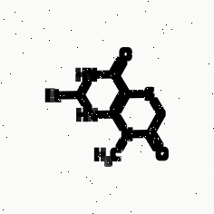 CCC1NC(=O)C2=C(N1)N(C)C(=O)CS2